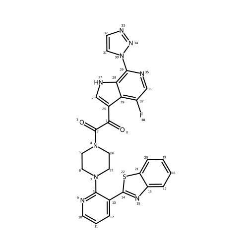 O=C(C(=O)N1CCN(c2ncccc2-c2nc3ccccc3s2)CC1)c1c[nH]c2c(-n3ccnn3)ncc(F)c12